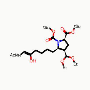 CCOC(OCC)[C@@H]1C[C@H](C(=O)OC(C)(C)C)N(C(=O)OC(C)(C)C)[C@@H]1CCCCC(O)=CNC(C)=O